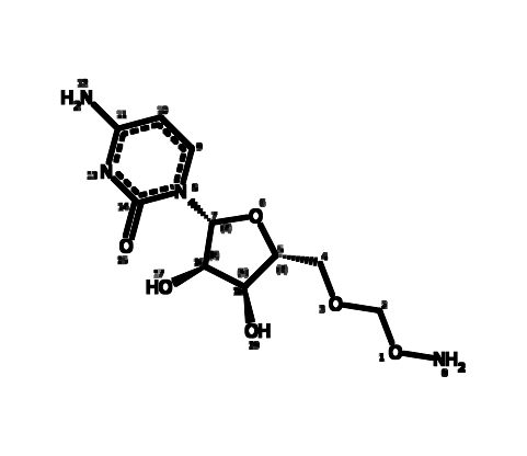 NOCOC[C@H]1O[C@@H](n2ccc(N)nc2=O)[C@H](O)[C@@H]1O